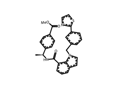 COC(=O)c1ccc([C@H](C)NC(=O)c2cccc3ccn(Cc4cccc(-c5nccs5)c4)c23)cc1